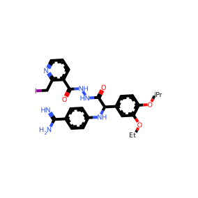 CCOc1cc(C(Nc2ccc(C(=N)N)cc2)C(=O)NNC(=O)c2cccnc2CI)ccc1OC(C)C